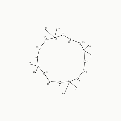 CC1(C)CSSC(C)(C)CSSC(C)(C)CSSC(C)(C)CSS1